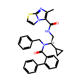 Cc1nc2sccn2c1C(=O)NC[C@@H](C1CC1)N(Cc1ccccc1)C(=O)c1ccccc1-c1ccccc1